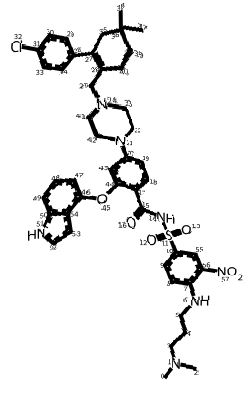 CN(C)CCCNc1ccc(S(=O)(=O)NC(=O)c2ccc(N3CCN(CC4=C(c5ccc(Cl)cc5)CC(C)(C)CC4)CC3)cc2Oc2cccc3[nH]ccc23)cc1[N+](=O)[O-]